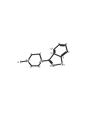 IN1CCN(c2nsc3ccccc23)CC1